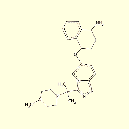 CN1CCN(C(C)(C)c2nnc3ccc(OC4CCC(N)c5ccccc54)cn23)CC1